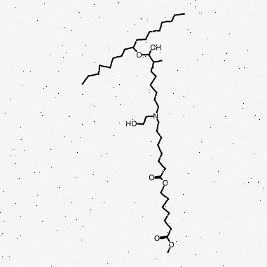 CCCCCCCCC(CCCCCCCC)OC(O)C(C)CCCCCCN(CCO)CCCCCCCC(=O)OCCCCCCC(=O)OC